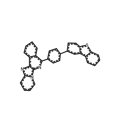 c1ccc2c(c1)sc1ccc(-c3ccc(-c4nc5c(nc6ccccn65)c5ccccc45)cc3)cc12